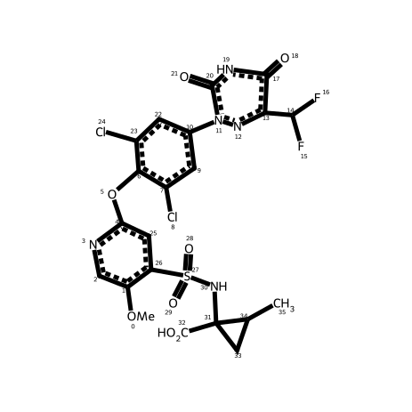 COc1cnc(Oc2c(Cl)cc(-n3nc(C(F)F)c(=O)[nH]c3=O)cc2Cl)cc1S(=O)(=O)NC1(C(=O)O)CC1C